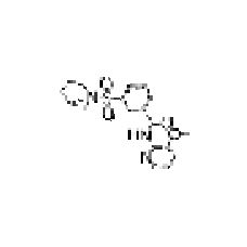 COc1cccnc1NC(=O)c1cccc(S(=O)(=O)N2CC3CCC2C3)c1